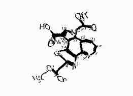 COC(=O)c1nc2c3ncccc3c3c(c(C(=O)O)cn3C(=O)O)c2o1